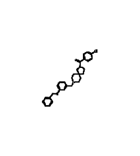 O=C(c1ccc(Cl)cc1)N1CCC2(CCN(Cc3cccc(OCc4ccccc4)c3)CC2)C1